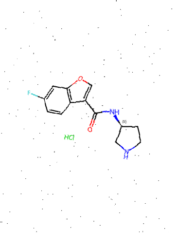 Cl.O=C(N[C@H]1CCNC1)c1coc2cc(F)ccc12